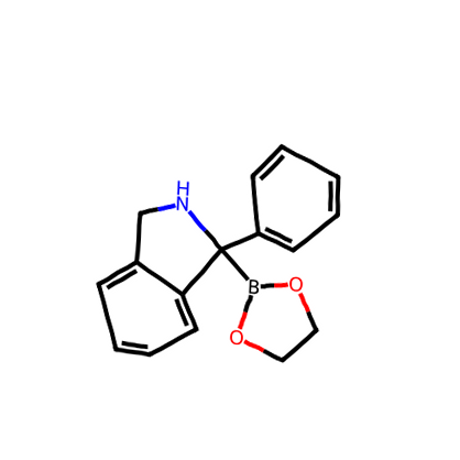 c1ccc(C2(B3OCCO3)NCc3ccccc32)cc1